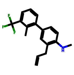 C=CCc1cc(-c2cccc(C(F)(F)F)c2C)ccc1NC